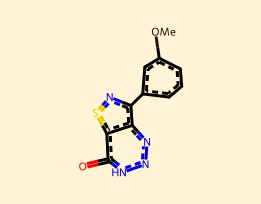 COc1cccc(-c2nsc3c(=O)[nH]nnc23)c1